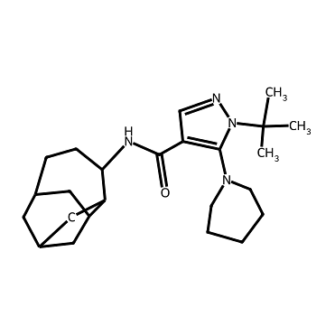 CC(C)(C)n1ncc(C(=O)NC2CCC3CC4CC(C3)C2C4)c1N1CCCCC1